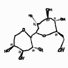 OC[C@H]1OC([C]2OC[C@H](O)[C@H](O)[C@H]2O)[C@H](O)[C@@H](O)[C@@H]1O